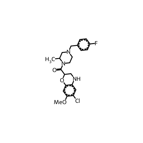 COc1cc2c(cc1Cl)NCC(C(=O)N1CCN(Cc3ccc(F)cc3)CC1C)O2